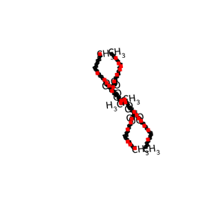 CCCCCCCC/C=C\CCCCCCCCOC(=O)CCN(CCCC(=O)OCCN1CC(C)N(CCOC(=O)CCCN(CCC(=O)OCCCCCCCC/C=C\CCCCCCCC)CCC(=O)OCCCCCCCC/C=C\CCCCCCCC)CC1C)CCC(=O)OCCCCCCCC/C=C\CCCCCCCC